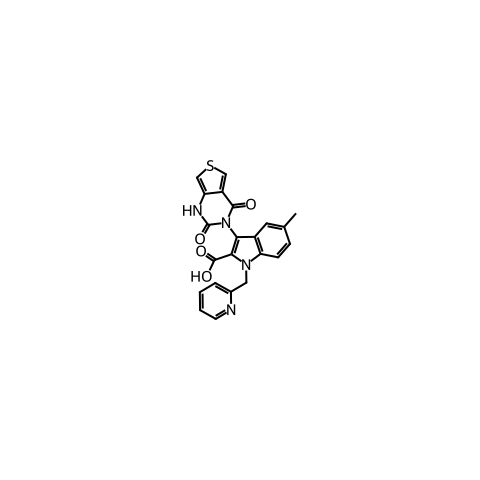 Cc1ccc2c(c1)c(-n1c(=O)[nH]c3cscc3c1=O)c(C(=O)O)n2Cc1ccccn1